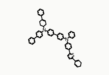 C1=CC(c2ccc(-c3ccc(N(c4ccccc4)c4ccc(-c5ccc(N(c6ccc(-c7ccccc7)cc6)C6CC=C(c7ccccc7)CC6)cc5)cc4)cc3)s2)=CCC1